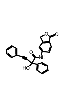 O=C1OCc2cc(NC(=O)C(O)(C#Cc3ccccc3)c3ccccc3)ccc21